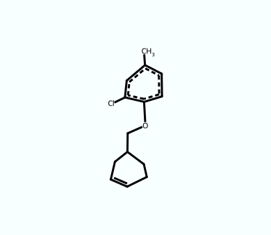 Cc1ccc(OCC2CC=CCC2)c(Cl)c1